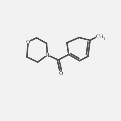 CC1=CC=C(C(=O)N2CCOCC2)CC1